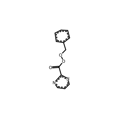 O=C(OOCc1ccccc1)c1ncccn1